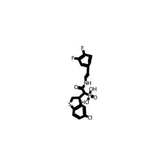 O=C(N/C=C/c1ccc(F)c(F)c1)C(C1CSc2ccc(Cl)cc21)P(=O)(O)O